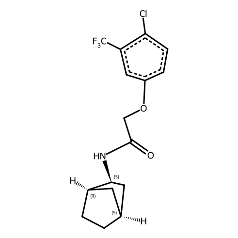 O=C(COc1ccc(Cl)c(C(F)(F)F)c1)N[C@H]1C[C@H]2CC[C@@H]1C2